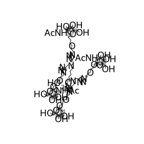 CC(=O)N[C@@H]1[C@@H](O)[C@@H](O)[C@@H](CO)O[C@H]1CCCOCCn1cc(CN(CCCC[C@@H](C(=O)O)N(Cc2cn(CCOCCO[C@@H]3O[C@H](CO)[C@H](O)[C@H](O)[C@H]3C)nn2)Cc2cn(CCOCCO[C@@H]3O[C@H](CO)[C@H](O)[C@H](O)[C@H]3NC(C)=O)nn2)Cc2cn(CCOCCO[C@@H]3O[C@H](CO)[C@H](O)[C@H](O)[C@H]3NC(C)=O)nn2)nn1